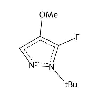 COc1cnn(C(C)(C)C)c1F